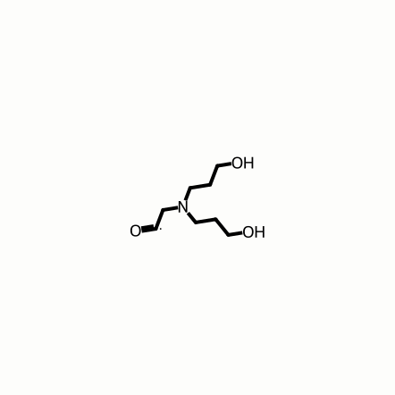 O=[C]CN(CCCO)CCCO